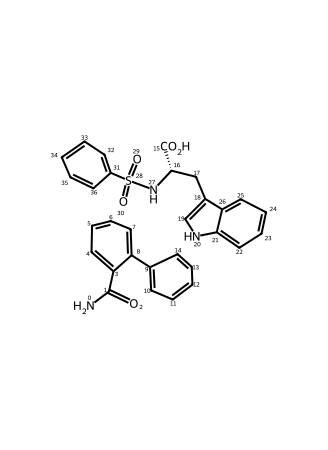 NC(=O)c1ccccc1-c1ccccc1.O=C(O)[C@H](Cc1c[nH]c2ccccc12)NS(=O)(=O)c1ccccc1